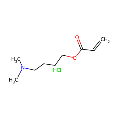 C=CC(=O)OCCCCN(C)C.Cl